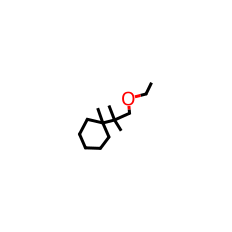 CCOCC(C)(C)C1(C)CCCCC1